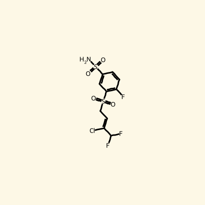 NS(=O)(=O)c1ccc(F)c(S(=O)(=O)CC=C(Cl)C(F)F)c1